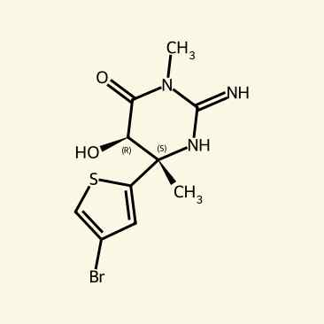 CN1C(=N)N[C@](C)(c2cc(Br)cs2)[C@@H](O)C1=O